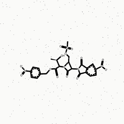 C[C@@H](O)C(C(=O)OCc1ccc([N+](=O)[O-])cc1)N1C(=O)C(N2C(=O)c3ccc([N+](=O)[O-])cc3C2=O)C1COS(C)(=O)=O